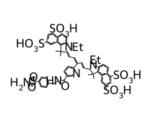 CCN1C(=CC=C(/C=C/C2N(CC)c3ccc4c(S(=O)(=O)O)cc(S(=O)(=O)O)cc4c3C2(C)C)c2ccc(C(=O)NCc3ccc(S(N)(=O)=O)cc3)cn2)C(C)(C)c2c1ccc1c(S(=O)(=O)O)cc(S(=O)(=O)O)cc21